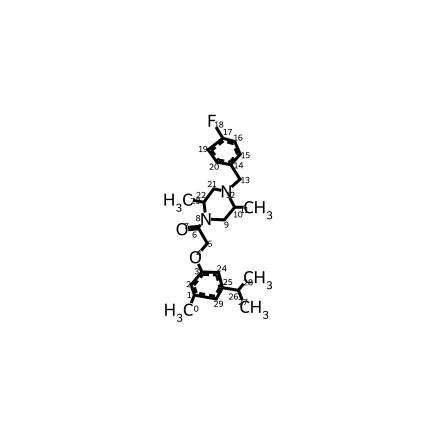 Cc1cc(OCC(=O)N2CC(C)N(Cc3ccc(F)cc3)CC2C)cc(C(C)C)c1